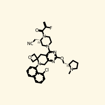 C=C(F)C(=O)N1CCN(c2nc(OC[C@@H]3CCCN3C)nc3c2CC2(COC2)N(c2cccc4cccc(Cl)c24)C3)C[C@@H]1CC#N